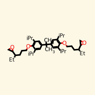 CCC(CCCOc1c(C(C)C)cc(C(C)(C)c2cc(C(C)C)c(OCCCC(CC)C3CO3)c(C(C)C)c2)cc1C(C)C)C1CO1